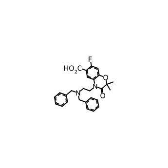 CC1(C)Oc2cc(F)c(C(=O)O)cc2N(CCN(Cc2ccccc2)Cc2ccccc2)C1=O